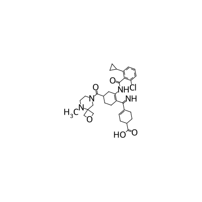 CN1CCN(C(=O)C2CCC(C(=N)C3=CCC(C(=O)O)CC3)=C(NC(=O)c3c(Cl)cccc3C3CC3)C2)CC12COC2